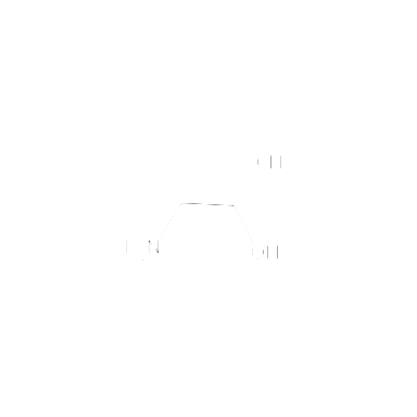 C[C@H](O)[CH]N